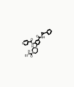 CCNC(=O)N1CCCN(c2ccc(C(=O)NC3CC3c3ccccc3)cc2NC(=O)c2ccncc2)CC1